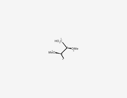 CO[C@H](C(=O)O)[C@@H](C)OC